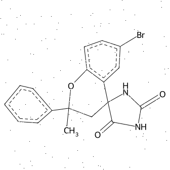 CC1(c2ccccc2)CC2(NC(=O)NC2=O)c2cc(Br)ccc2O1